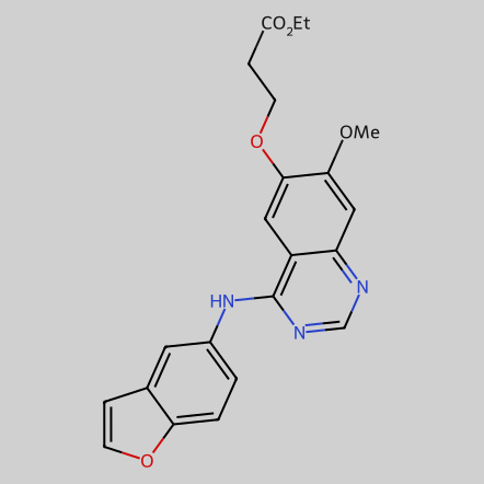 CCOC(=O)CCOc1cc2c(Nc3ccc4occc4c3)ncnc2cc1OC